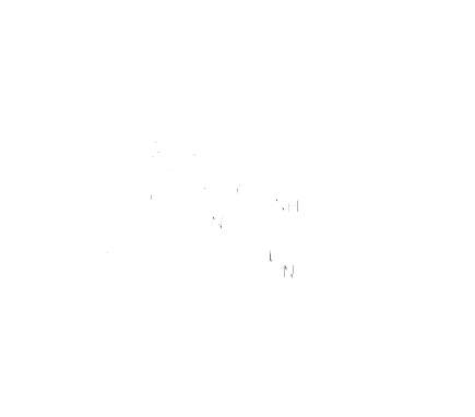 CCCCCN(C)C[C@@H]1CNC[C@H]1CN(C(=O)c1ccc(OC)c(OCCCOC)c1)C(C)C